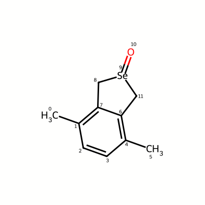 Cc1ccc(C)c2c1C[Se](=O)C2